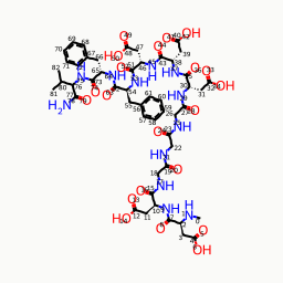 CN[C@@H](CC(=O)O)C(=O)N[C@@H](CC(=O)O)C(=O)NCC(=O)NCC(=O)NCC(=O)N[C@@H](CC(=O)O)C(=O)N[C@@H](CC(=O)O)C(=O)N[C@@H](CC(=O)O)C(=O)N[C@@H](Cc1ccccc1)C(=O)N[C@@H](Cc1ccccc1)C(=O)NC(C(N)=O)C(C)C